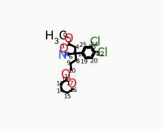 COC(=O)CC(C#N)(CCCOC1CCCCO1)c1ccc(Cl)c(Cl)c1